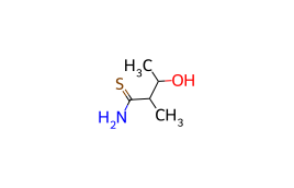 CC(O)C(C)C(N)=S